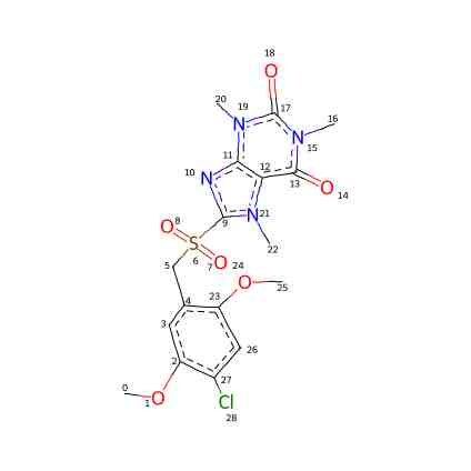 COc1cc(CS(=O)(=O)c2nc3c(c(=O)n(C)c(=O)n3C)n2C)c(OC)cc1Cl